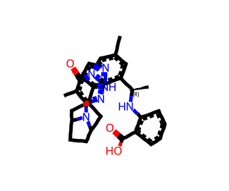 Cc1cc([C@@H](C)Nc2ccccc2C(=O)O)c2nc(N3C4CCC3CC(c3ccn[nH]3)C4)c(C)c(=O)n2c1